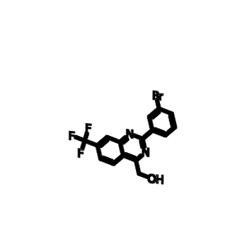 OCc1nc(-c2cccc(Br)c2)nc2cc(C(F)(F)F)ccc12